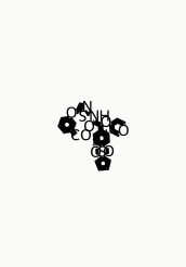 O=C(O)c1cccc(Oc2cnc(NC(=O)C(OC3CCOCC3)c3ccc(S(=O)(=O)C4CCCC4)cc3)s2)c1